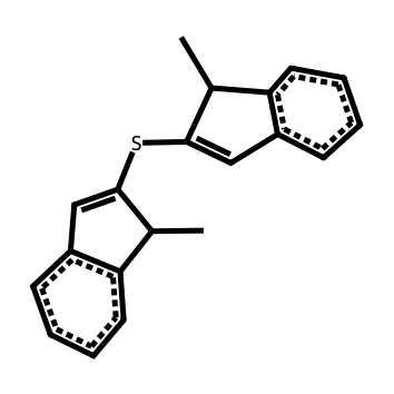 CC1C(SC2=Cc3ccccc3C2C)=Cc2ccccc21